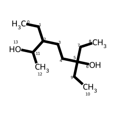 CCC(CCC(O)(CC)CC)C(C)O